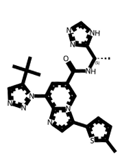 Cc1ccc(-c2cnc3c(-n4nncc4C(C)(C)C)cc(C(=O)N[C@@H](C)c4nnc[nH]4)cn23)s1